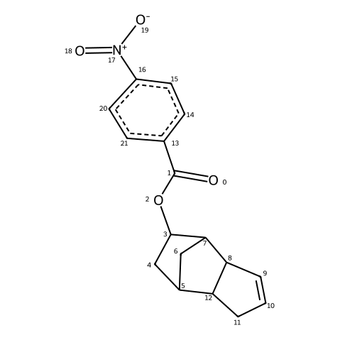 O=C(OC1CC2CC1C1C=CCC21)c1ccc([N+](=O)[O-])cc1